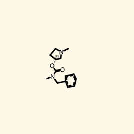 CN1CC[C@@H](OC(=O)N(C)Cc2ccccc2)C1